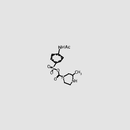 CC(=O)Nc1ccc(S(=O)(=O)OC(=O)N2CCNC(C)C2)cc1